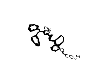 O=C(O)COc1cccc2c1CCCC2C=Cc1cc(C(c2ccccc2)c2ccccc2)on1